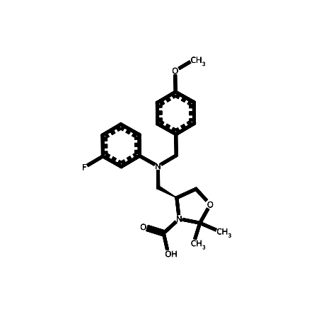 COc1ccc(CN(C[C@H]2COC(C)(C)N2C(=O)O)c2cccc(F)c2)cc1